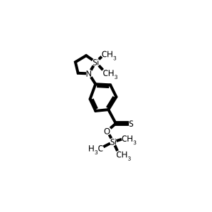 C[Si](C)(C)OC(=S)c1ccc(N2CCC[Si]2(C)C)cc1